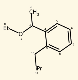 CCO[C](C)c1ccccc1CC(C)C